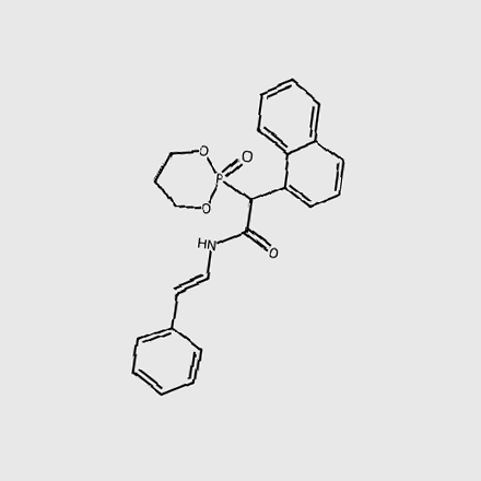 O=C(N/C=C/c1ccccc1)C(c1cccc2ccccc12)P1(=O)OCCCO1